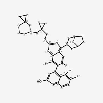 Oc1cc(-c2c(F)cc3c(N4CC5CCC(C4)N5)nc(OCC4(CN5CCOC6(CC6)C5)CC4)nc3c2F)c2c(F)c(F)ccc2c1